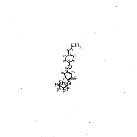 CCCC1CCC(OCc2ccc(OC(F)(F)C(F)C(F)(F)F)c(F)c2)CC1